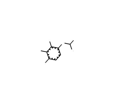 CC(O)Oc1ccc(F)c(F)c1F